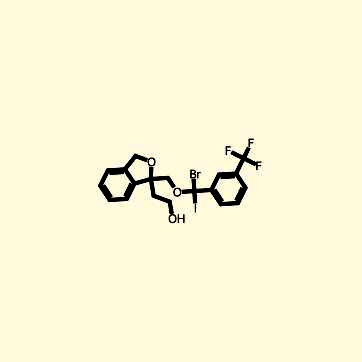 OCCC1(COC(Br)(I)c2cccc(C(F)(F)F)c2)OCc2ccccc21